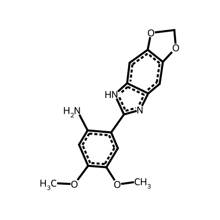 COc1cc(N)c(-c2nc3cc4c(cc3[nH]2)OCO4)cc1OC